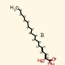 CCCCCCCCCCCCCC=CC=C(O)C(=O)O.[Ti]